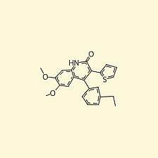 CCc1cccc(-c2c(-c3cccs3)c(=O)[nH]c3cc(OC)c(OC)cc23)c1